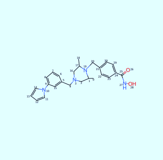 CC1CN(Cc2cccc(-n3cccc3)c2)CC(C)N1Cc1ccc(C(=O)NO)cc1